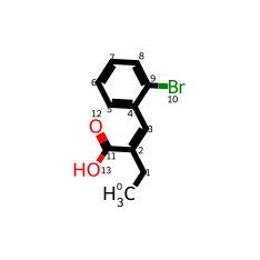 CCC(=Cc1ccccc1Br)C(=O)O